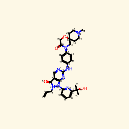 C=CCn1c(=O)c2cnc(Nc3ccc(N4CC5(CCN(C)CC5)OCC4=O)cc3)nc2n1-c1cccc(C(C)(C)O)n1